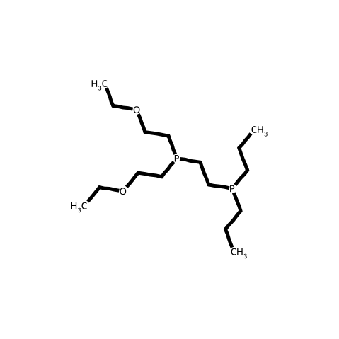 CCCP(CCC)CCP(CCOCC)CCOCC